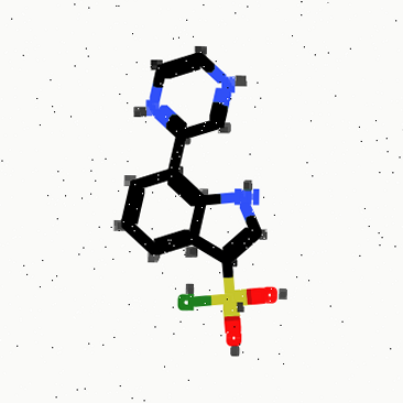 O=S(=O)(Cl)c1c[nH]c2c(-c3cnccn3)cccc12